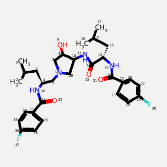 CC(C)C[C@@H](CN1CC(O)C(NC(=O)[C@H](CC(C)C)NC(=O)c2ccc(F)cc2)C1)NC(=O)c1ccc(F)cc1